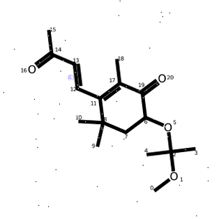 COC(C)(C)OC1CC(C)(C)C(/C=C/C(C)=O)=C(C)C1=O